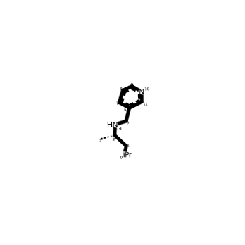 CC(C)C[C@H](C)NCc1cccnc1